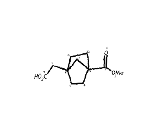 COC(=O)C12CCC(CC(=O)O)(CC1)C2